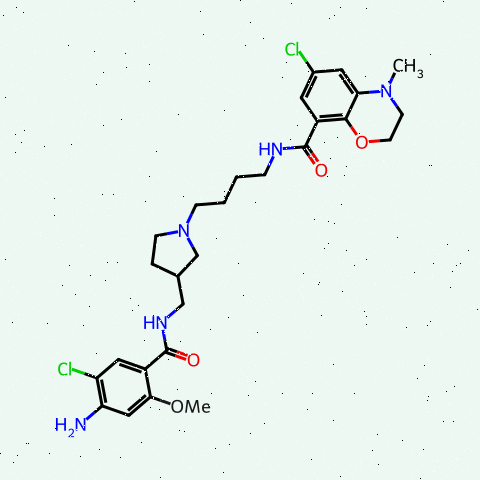 COc1cc(N)c(Cl)cc1C(=O)NCC1CCN(CCCCNC(=O)c2cc(Cl)cc3c2OCCN3C)C1